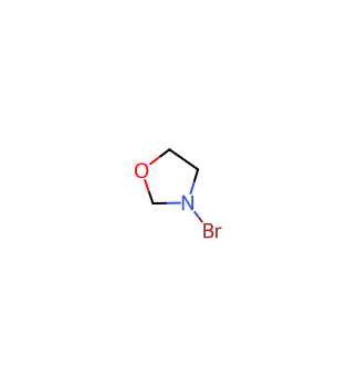 BrN1CCOC1